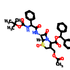 CC(=O)OCC1=C(C(=O)OC(c2ccccc2)c2ccccc2)N2C(=O)[C@@H](NC(=O)C(NC(=O)OC(C)(C)C)c3ccccc3)[C@@H]2[S+]([O-])C1